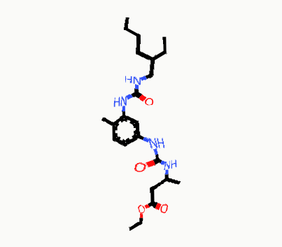 CCCCC(CC)CNC(=O)Nc1cc(NC(=O)NC(C)CC(=O)OCC)ccc1C